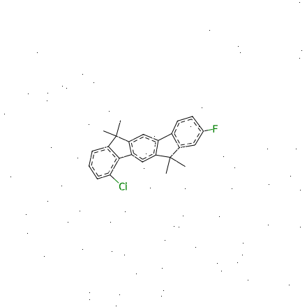 CC1(C)c2cc(F)ccc2-c2cc3c(cc21)-c1c(Cl)cccc1C3(C)C